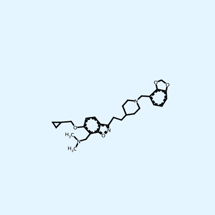 CN(C)Cc1c(OCC2CC2)ccc2c(CCC3CCN(Cc4cccc5c4OCO5)CC3)noc12